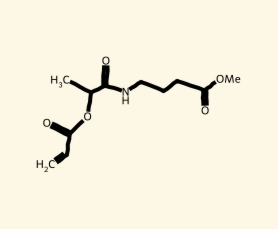 C=CC(=O)OC(C)C(=O)NCCCC(=O)OC